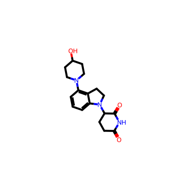 O=C1CCC(N2CCc3c(N4CCC(O)CC4)cccc32)C(=O)N1